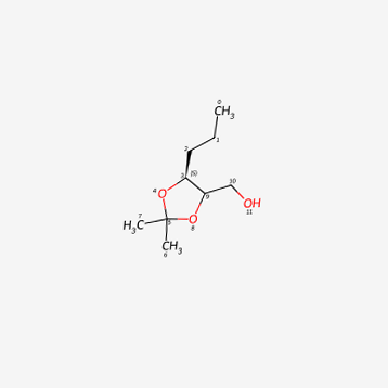 CCC[C@@H]1OC(C)(C)OC1CO